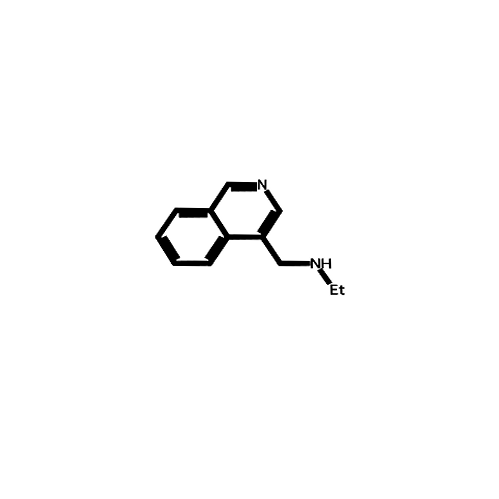 CCNCc1cncc2ccccc12